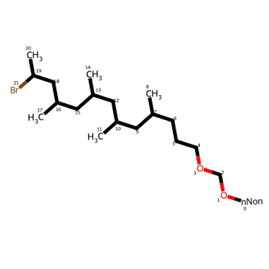 CCCCCCCCCOCOCCCC(C)CC(C)CC(C)CC(C)CC(C)Br